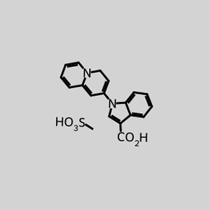 CS(=O)(=O)O.O=C(O)c1cn(C2=CCN3C=CC=CC3=C2)c2ccccc12